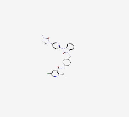 CN1CCN(c2ccc(-n3c(=O)n(CC4CCC(NC(=O)c5cc(Cl)cnc5C(F)F)CC4)c4ccccc43)nc2)C1=O